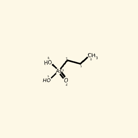 CCC[As](=O)(O)O